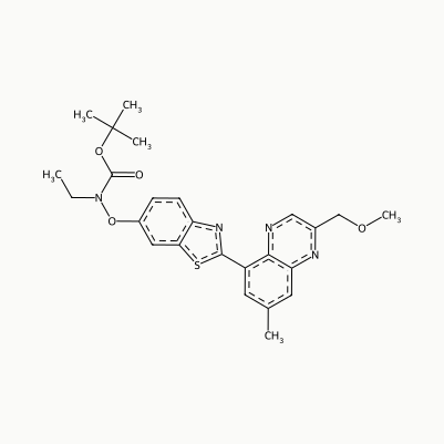 CCN(Oc1ccc2nc(-c3cc(C)cc4nc(COC)cnc34)sc2c1)C(=O)OC(C)(C)C